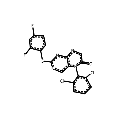 O=c1cnc2nc(Sc3ccc(F)cc3F)ncc2n1-c1c(Cl)cccc1Cl